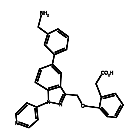 NCc1cccc(-c2ccc3c(c2)c(COc2ccccc2CC(=O)O)nn3-c2ccncc2)c1